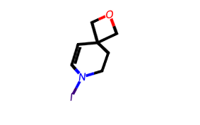 IN1C=CC2(CC1)COC2